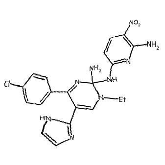 CCN1C=C(c2ncc[nH]2)C(c2ccc(Cl)cc2)=NC1(N)Nc1ccc([N+](=O)[O-])c(N)n1